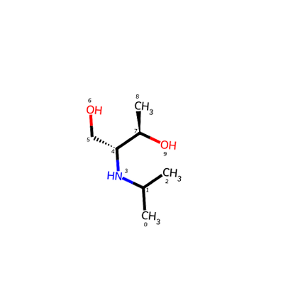 CC(C)N[C@H](CO)[C@@H](C)O